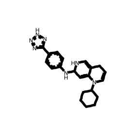 C1=CN(C2CCCCC2)C2=CC(Nc3ccc(-c4nn[nH]n4)cc3)NC=C2C1